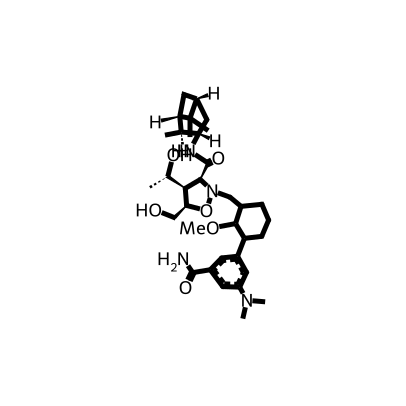 COC1C(CN2O[C@@H](CO)[C@@H]([C@H](C)O)[C@H]2C(=O)N[C@H]2C[C@H]3C[C@@H]([C@@H]2C)C3(C)C)CCCC1c1cc(C(N)=O)cc(N(C)C)c1